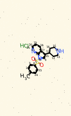 Cc1ccc(S(=O)(=O)n2cc(C3CCNCC3)c3cccnc32)cc1.Cl